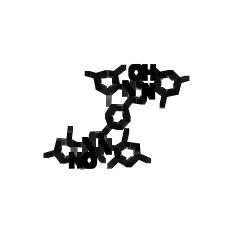 Cc1cc(C)c(N2C=C(c3ccc(-c4cn(-c5c(C)cc(C)cc5C)c(O)[n+]4-c4c(C)cc(C)cc4C)cc3)N(c3c(C)cc(C)cc3C)C2(C)O)c(C)c1